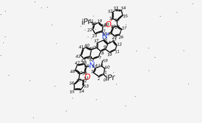 CC(C)C1=CC=C(N(c2cc3c4ccccc4c(N(c4ccc(C(C)C)cc4)c4cccc5c4oc4ccccc45)cc3c3ccccc23)c2cccc3c2oc2ccccc23)C(C)C1